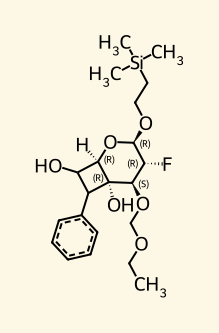 CCOCO[C@@H]1[C@@H](F)[C@H](OCC[Si](C)(C)C)O[C@@H]2C(O)C(c3ccccc3)[C@@]21O